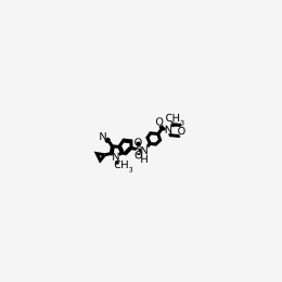 C[C@@H]1COCCN1C(=O)C1CCC(NS(=O)(=O)c2ccc3c(C#N)c(C4CC4)n(C)c3c2)CC1